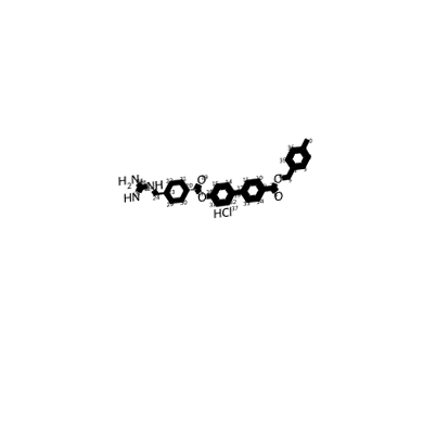 Cc1ccc(COC(=O)c2ccc(-c3ccc(OC(=O)[C@H]4CC[C@H](CNC(=N)N)CC4)cc3)cc2)cc1.Cl